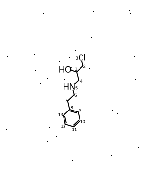 OC(CCl)CNCCc1ccccc1